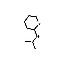 CC(C)NC1CCCC[N]1